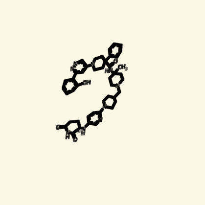 CC1(NC(=O)C2(c3ccccc3)CCN(c3cnnc(-c4ccccc4O)c3)CC2)CCN(CC2CCN(c3ccc(N[C@@H]4CCC(=O)NC4=O)cn3)CC2)CC1